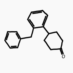 O=C1CCC(c2ccccc2Cc2ccccc2)CC1